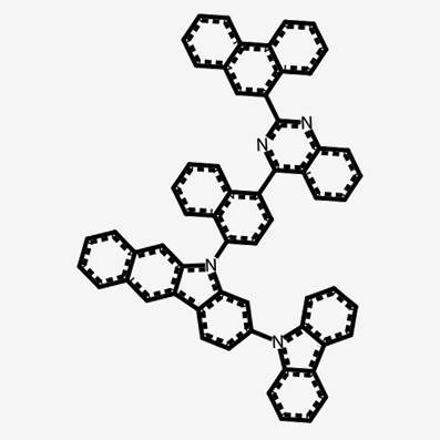 c1ccc2cc3c(cc2c1)c1ccc(-n2c4ccccc4c4ccccc42)cc1n3-c1ccc(-c2nc(-c3cc4ccccc4c4ccccc34)nc3ccccc23)c2ccccc12